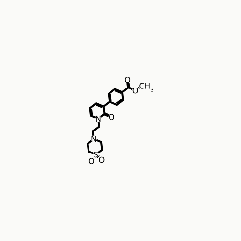 COC(=O)c1ccc(-c2cccn(CCN3CCS(=O)(=O)CC3)c2=O)cc1